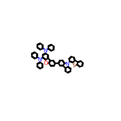 c1ccc(N(c2ccccc2)c2cc(N(c3ccccc3)c3ccccc3)c3oc4ccc(-c5ccc6c(c5)c5ccccc5n6-c5cccc6c5sc5ccccc56)cc4c3c2)cc1